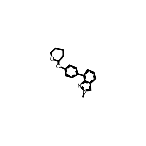 Cn1cc2cccc(-c3ccc(OC4CCCCO4)cc3)c2n1